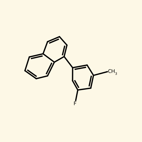 Cc1cc(F)cc(-c2cccc3ccccc23)c1